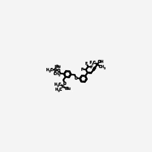 CC(O)(C#CC=C(c1cccc(OCc2ccc(CO[Si](C)(C)C(C)(C)C)c(CO[Si](C)(C)C(C)(C)C)c2)c1)C(F)C(F)F)C(F)(F)F